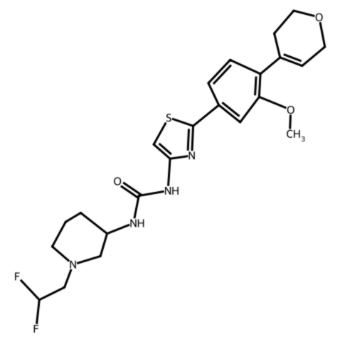 COc1cc(-c2nc(NC(=O)NC3CCCN(CC(F)F)C3)cs2)ccc1C1=CCOCC1